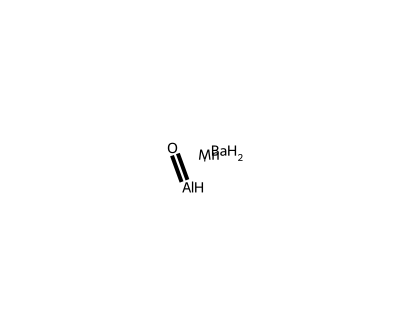 [BaH2].[Mn].[O]=[AlH]